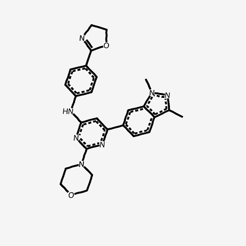 Cc1nn(C)c2cc(-c3cc(Nc4ccc(C5=NCCO5)cc4)nc(N4CCOCC4)n3)ccc12